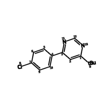 CC(C)(C)c1cc(-c2ccc(Cl)cc2)ncn1